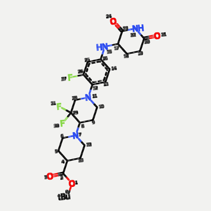 CC(C)(C)OC(=O)C1CCN(C2CCN(c3ccc(NC4CCC(=O)NC4=O)cc3F)CC2(F)F)CC1